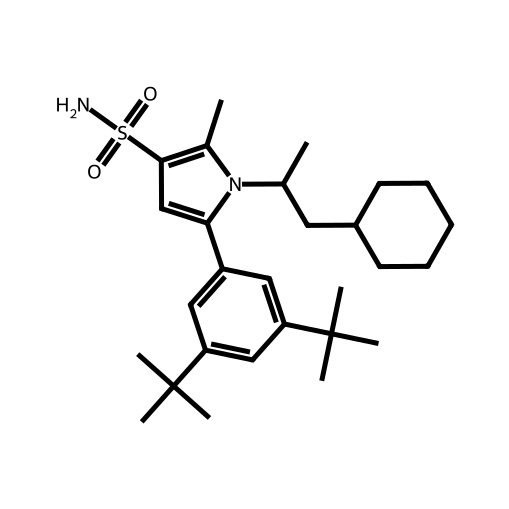 Cc1c(S(N)(=O)=O)cc(-c2cc(C(C)(C)C)cc(C(C)(C)C)c2)n1C(C)CC1CCCCC1